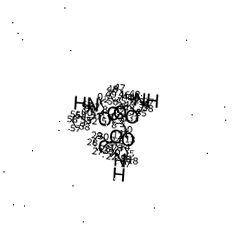 CC1(C)CC(OC(=O)CC(CC(=O)OC2CC(C)(C)NC(C)(C)C2CC2CCCCC2)C(=O)OC2CC(C)(C)NC(C)(C)C2CC2CCCCC2)C(CC2CCCCC2)C(C)(C)N1